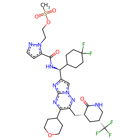 CS(=O)(=O)OCCn1nccc1C(=O)N[C@H](c1cn2nc(C[C@H]3C[C@@H](C(F)(F)F)CNC3=O)c(C3CCOCC3)nc2n1)C1CCC(F)(F)CC1